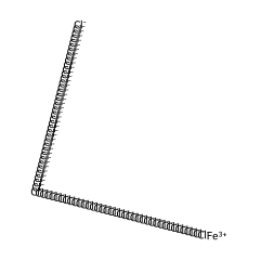 [Cl-].[Cl-].[Cl-].[Cl-].[Cl-].[Cl-].[Cl-].[Cl-].[Cl-].[Cl-].[Cl-].[Cl-].[Cl-].[Cl-].[Cl-].[Cl-].[Cl-].[Cl-].[Cl-].[Cl-].[Cl-].[Cl-].[Cl-].[Cl-].[Cl-].[Cl-].[Cl-].[Cl-].[Cl-].[Cl-].[Cl-].[Cl-].[Cl-].[Cl-].[Cl-].[Cl-].[Cl-].[Cl-].[Cl-].[Cl-].[Cl-].[Cl-].[Cl-].[Cl-].[Cl-].[Cl-].[Cl-].[Cl-].[Cl-].[Cl-].[Cl-].[Cl-].[Cl-].[Cl-].[Cl-].[Cl-].[Cl-].[Cl-].[Cl-].[Cl-].[Cl-].[Cl-].[Cl-].[Cl-].[Cl-].[Cl-].[Cl-].[Cl-].[Cl-].[Cl-].[Cl-].[Cl-].[Cl-].[Cl-].[Cl-].[Fe+3]